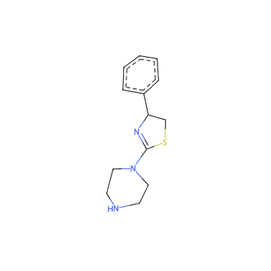 c1ccc(C2CSC(N3CCNCC3)=N2)cc1